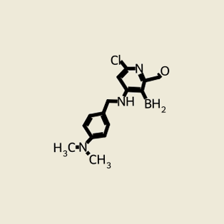 Bc1c(NCc2ccc(N(C)C)cc2)cc(Cl)nc1C=O